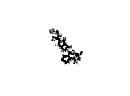 Cn1cnc(-c2ccccc2C(=O)N2CC3CN(C(=O)OC(C)(C)C)CC3C2)n1